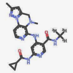 [2H]C([2H])([2H])NC(=O)c1cnc(NC(=O)C2CC2)cc1Nc1nccc2c1N(C)Cc1cc(C)nn1-2